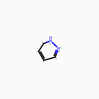 C1=CCN[N+]=C1